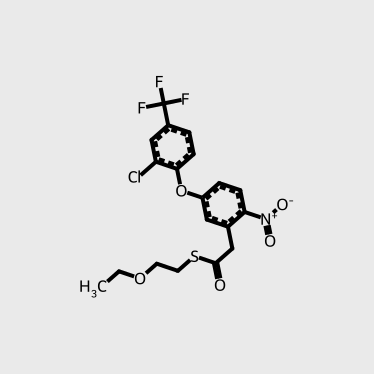 CCOCCSC(=O)Cc1cc(Oc2ccc(C(F)(F)F)cc2Cl)ccc1[N+](=O)[O-]